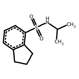 CC(C)NS(=O)(=O)c1cccc2c1CCC2